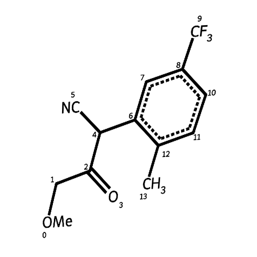 COCC(=O)C(C#N)c1cc(C(F)(F)F)ccc1C